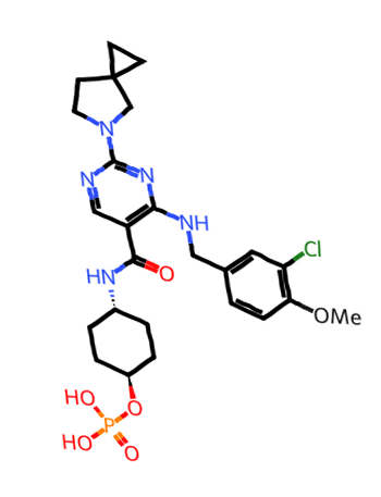 COc1ccc(CNc2nc(N3CCC4(CC4)C3)ncc2C(=O)N[C@H]2CC[C@H](OP(=O)(O)O)CC2)cc1Cl